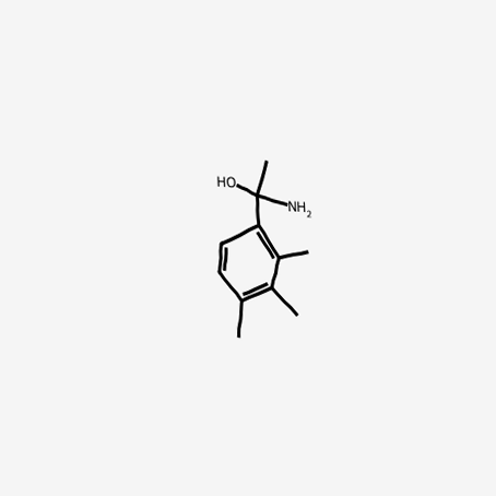 Cc1ccc(C(C)(N)O)c(C)c1C